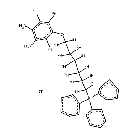 [2H]c1c([2H])c(OC([2H])([2H])C([2H])([2H])C([2H])([2H])C([2H])([2H])C([2H])([2H])C([2H])([2H])[P+](c2ccccc2)(c2ccccc2)c2ccccc2)c([2H])c(N)c1N.[Cl-]